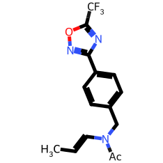 CC=CN(Cc1ccc(-c2noc(C(F)(F)F)n2)cc1)C(C)=O